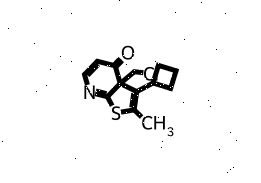 CC1=C(C2CCC2)C2(CCl)C(=O)C=CN=C2S1